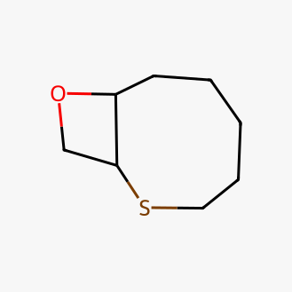 C1CCSC2COC2CC1